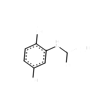 Cc1ccc(C)c(N[C@H](C(=O)O)C(C)C)c1